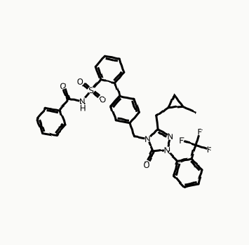 CC1CC1Cc1nn(-c2ccccc2C(F)(F)F)c(=O)n1Cc1ccc(-c2ccccc2S(=O)(=O)NC(=O)c2ccccc2)cc1